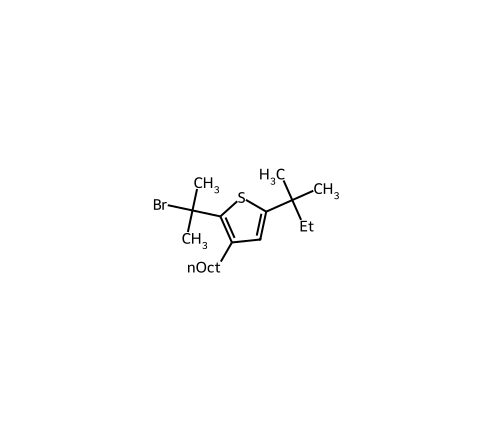 CCCCCCCCc1cc(C(C)(C)CC)sc1C(C)(C)Br